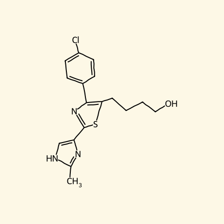 Cc1nc(-c2nc(-c3ccc(Cl)cc3)c(CCCCO)s2)c[nH]1